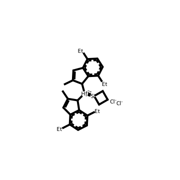 CCc1ccc(CC)c2c1C=C(C)[CH]2[Hf+2]([CH]1C(C)=Cc2c(CC)ccc(CC)c21)=[Si]1CCC1.[Cl-].[Cl-]